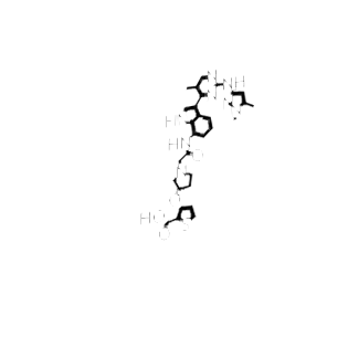 Cc1cnc(Nc2cc(C)n(C)n2)nc1-c1c[nH]c2c(NC(=O)CN3CC[C@H](Oc4ccsc4C(=O)O)C3)cccc12